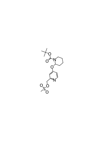 CC(C)(C)OC(=O)N1CCCCC1Oc1ccnc(COS(C)(=O)=O)c1